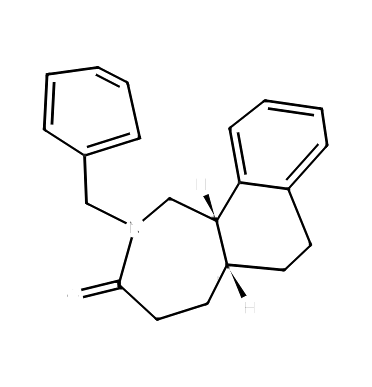 O=C1CC[C@H]2CCc3ccccc3[C@H]2CN1Cc1ccccc1